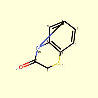 O=C1CSc2ccc3cc2N13